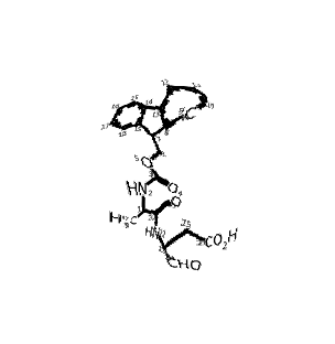 CC(NC(=O)OCC1c2ccccc2-c2ccccc21)C(=O)N[C@H](C=O)CC(=O)O